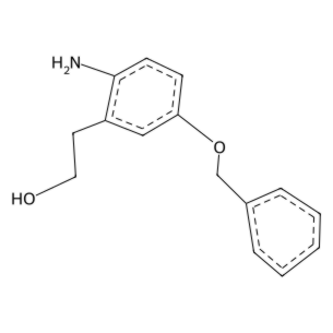 Nc1ccc(OCc2ccccc2)cc1CCO